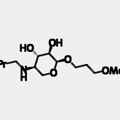 COCCCO[C@H]1OC[C@@H](NCC(C)C)[C@H](O)[C@H]1O